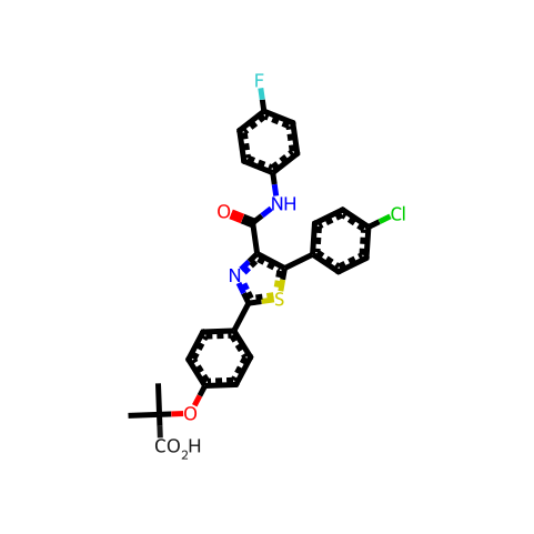 CC(C)(Oc1ccc(-c2nc(C(=O)Nc3ccc(F)cc3)c(-c3ccc(Cl)cc3)s2)cc1)C(=O)O